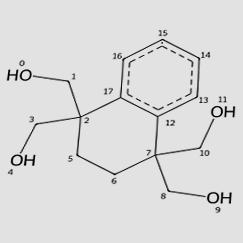 OCC1(CO)CCC(CO)(CO)c2cc[c]cc21